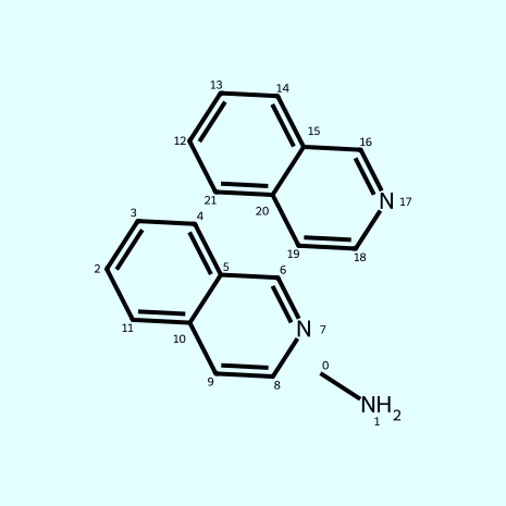 CN.c1ccc2cnccc2c1.c1ccc2cnccc2c1